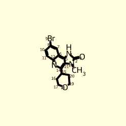 Cn1c(=O)[nH]c2c3cc(Br)ccc3nc(C3CCOCC3)c21